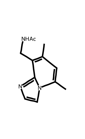 CC(=O)NCc1c(C)cc(C)n2ccnc12